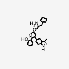 Cc1n[nH]c2ccc(-c3cc(OC[C@H](N)Cc4ccccc4)cnc3-c3ccccc3O)cc12